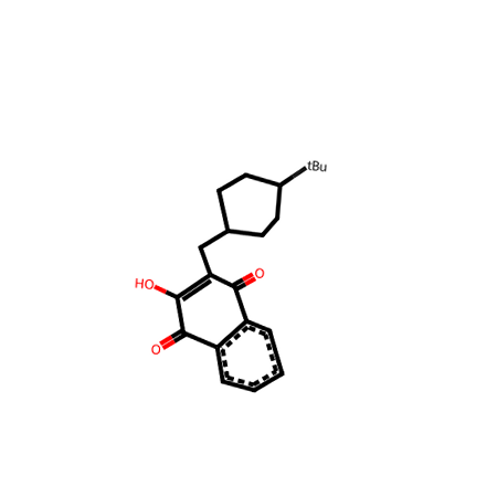 CC(C)(C)C1CCC(CC2=C(O)C(=O)c3ccccc3C2=O)CC1